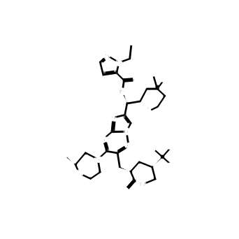 CCn1nccc1C(=O)N[C@H](c1cn2nc(C[C@H]3C[C@@H](C(F)(F)F)CNC3=O)c(N3CCO[C@@H](C)C3)nc2n1)[C@H]1CCCC(F)(F)C1